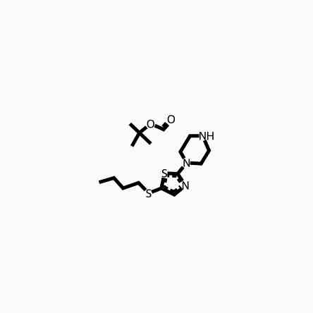 CC(C)(C)OC=O.CCCCSc1cnc(N2CCNCC2)s1